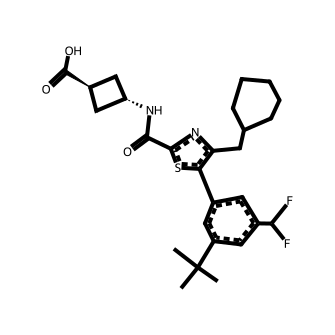 CC(C)(C)c1cc(-c2sc(C(=O)N[C@H]3C[C@H](C(=O)O)C3)nc2CC2CCCCC2)cc(C(F)F)c1